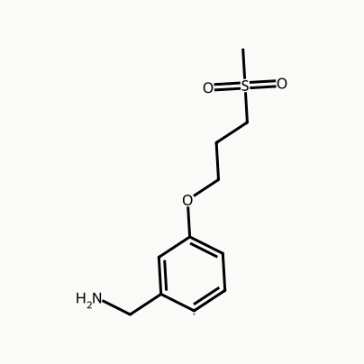 CS(=O)(=O)CCCOc1cc[c]c(CN)c1